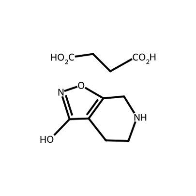 O=C(O)CCC(=O)O.Oc1noc2c1CCNC2